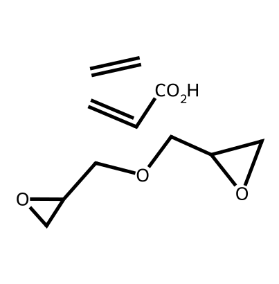 C(OCC1CO1)C1CO1.C=C.C=CC(=O)O